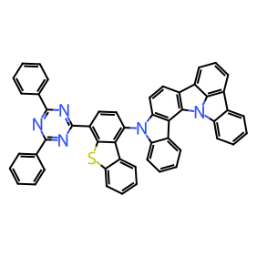 c1ccc(-c2nc(-c3ccccc3)nc(-c3ccc(-n4c5ccccc5c5c4ccc4c6cccc7c8ccccc8n(c76)c45)c4c3sc3ccccc34)n2)cc1